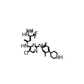 C=C(/C=C(\NN)C(F)(F)F)Nc1nc(Nc2cc(C)c(C3CCNCC3)cc2C)ncc1Cl